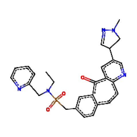 CCN(Cc1ccccn1)S(=O)(=O)Cc1ccc2ccc3ncc(C4C=NN(C)C4)cc3c(=O)c2c1